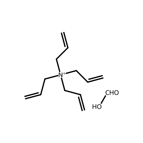 C=CC[N+](CC=C)(CC=C)CC=C.O=CO